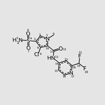 Cn1cc(S(N)(=O)=O)c(Cl)c1C(=O)Nc1ccnc(C(F)F)c1